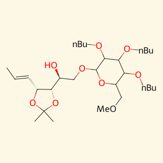 CC=C[C@H]1OC(C)(C)O[C@H]1[C@@H](O)COC1OC(COC)C(OCCCC)C(OCCCC)C1OCCCC